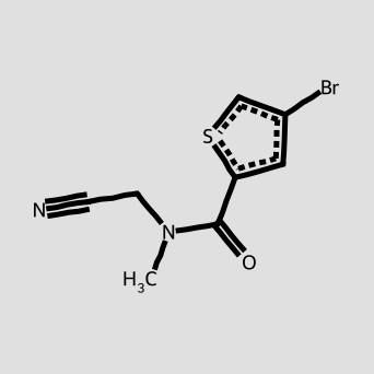 CN(CC#N)C(=O)c1cc(Br)cs1